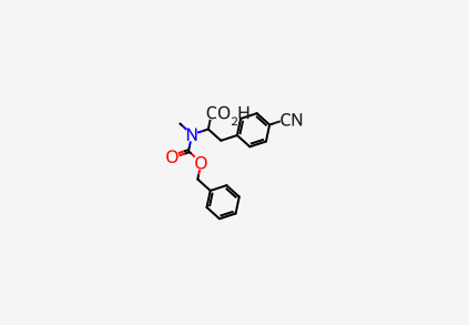 CN(C(=O)OCc1ccccc1)C(Cc1ccc(C#N)cc1)C(=O)O